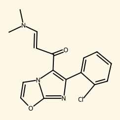 CN(C)C=CC(=O)c1c(-c2ccccc2Cl)nc2occn12